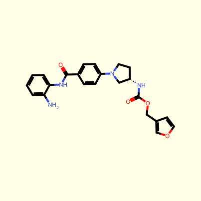 Nc1ccccc1NC(=O)c1ccc(N2CC[C@H](NC(=O)OCc3ccoc3)C2)cc1